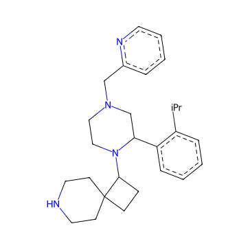 CC(C)c1ccccc1C1CN(Cc2ccccn2)CCN1C1CCC12CCNCC2